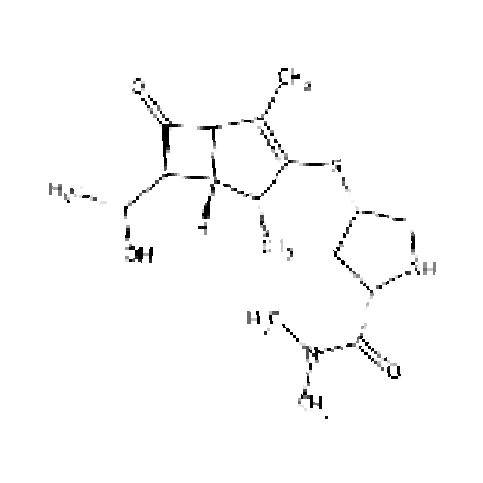 CC1=C(S[C@@H]2CN[C@H](C(=O)N(C)C)C2)[C@H](C)[C@H]2C1C(=O)[C@@H]2[C@@H](C)O